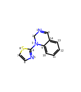 C1=NCN(c2nccs2)c2ccccc21